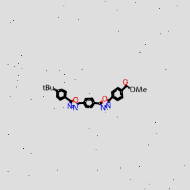 COC(=O)c1ccc(-c2nnc(-c3ccc(-c4nnc(-c5ccc(C(C)(C)C)cc5)o4)cc3)o2)cc1